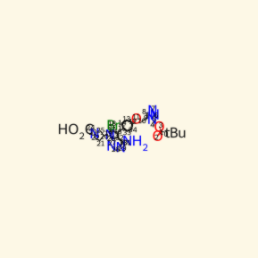 CC(C)(C)C(=O)OCn1nncc1COc1ccc(-c2c(Br)n(C3CCN(C(=O)O)C3)c3ncnc(N)c23)cc1